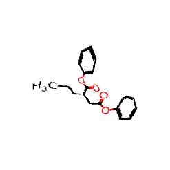 CCC[C@H](CC(=O)Oc1ccccc1)C(=O)Oc1ccccc1